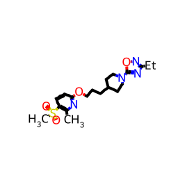 CCc1noc(N2CCC(CCCOc3ccc(S(C)(=O)=O)c(C)n3)CC2)n1